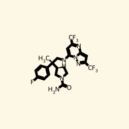 C[C@](CNc1cc(C(F)(F)F)nc2cc(C(F)(F)F)nn12)(c1ccc(F)cc1)[C@H]1CCN(C(N)=O)C1